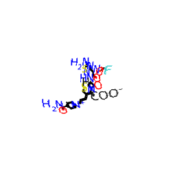 NC(=O)c1cc[n+](C/C=C/C2=C(C(=O)[O-])N3C(=O)[C@@H](NC(=O)/C(=N\OCF)c4nsc(N)n4)[C@@H]3SC2)cc1